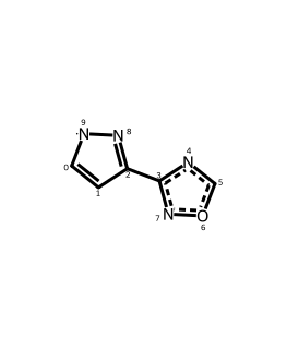 C1=CC(c2ncon2)=N[N]1